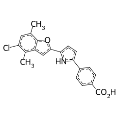 Cc1c(Cl)cc(C)c2oc(-c3ccc(-c4ccc(C(=O)O)cc4)[nH]3)cc12